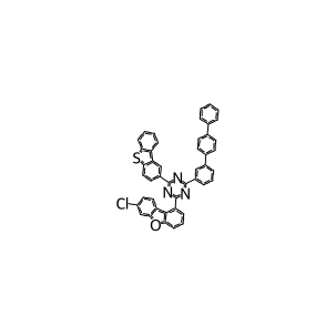 Clc1ccc2c(c1)oc1cccc(-c3nc(-c4cccc(-c5ccc(-c6ccccc6)cc5)c4)nc(-c4ccc5sc6ccccc6c5c4)n3)c12